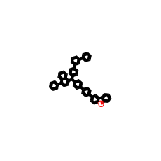 c1ccc(-c2cccc(-c3ccc(C(c4ccc(-c5ccc(-c6ccc7oc8ccccc8c7c6)cc5)cc4)c4ccc(-c5ccccc5)c5ccccc45)cc3)c2)cc1